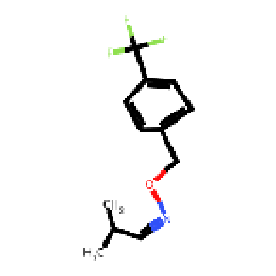 CC(C)/[C]=N\OCc1ccc(C(F)(F)F)cc1